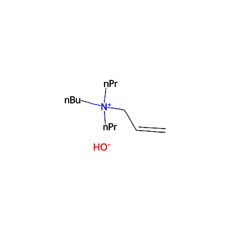 C=CC[N+](CCC)(CCC)CCCC.[OH-]